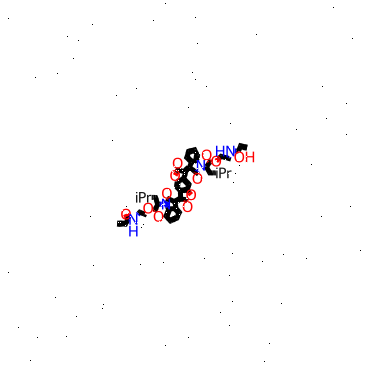 C=CC(=O)NCCOC(=O)C(CC(C)C)N1C(=O)/C(=C2/C(=O)Oc3cc4c(cc32)OC(=O)/C4=C2/C(=O)N(C(CC(C)C)C(=O)OCCNC(O)C=C)c3ccccc32)c2ccccc21